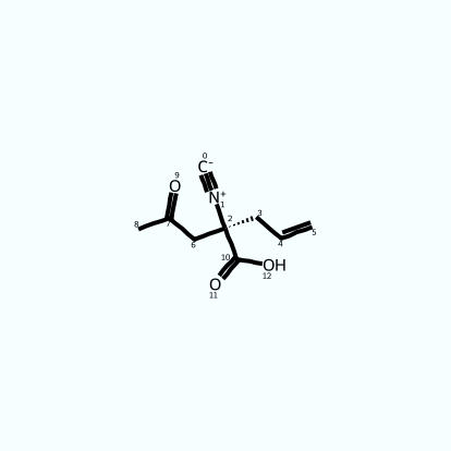 [C-]#[N+][C@](CC=C)(CC(C)=O)C(=O)O